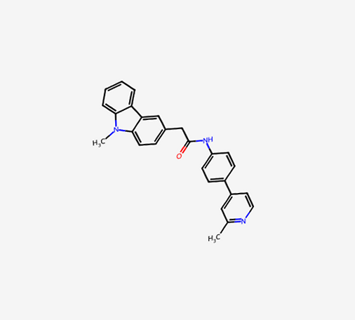 Cc1cc(-c2ccc(NC(=O)Cc3ccc4c(c3)c3ccccc3n4C)cc2)ccn1